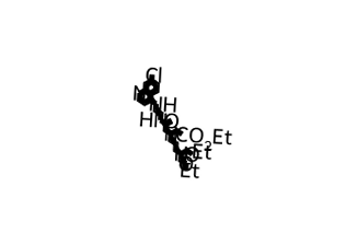 CCOCN(CCCN(CC(=O)NCCNc1ccnc2cc(Cl)ccc12)CC(=O)OCC)COCC